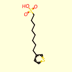 O=S(=O)(O)CCCCCCCCc1ccsc1